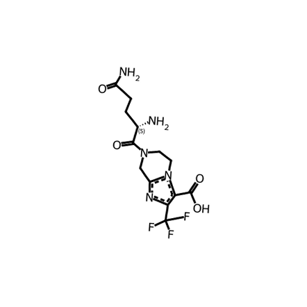 NC(=O)CC[C@H](N)C(=O)N1CCn2c(nc(C(F)(F)F)c2C(=O)O)C1